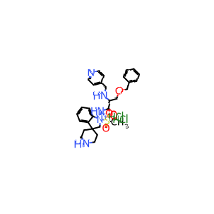 CS(=O)(=O)[N+]1(NC(=O)C(COCc2ccccc2)NCc2ccncc2)CC2(CCNCC2)c2ccccc21.Cl.Cl